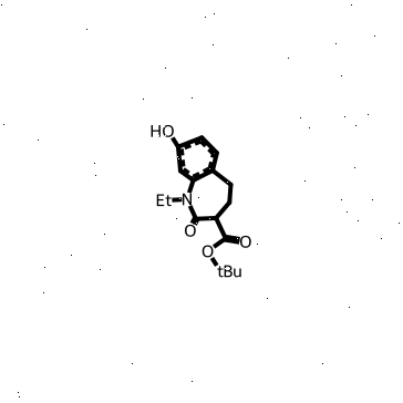 CCN1C(=O)C(C(=O)OC(C)(C)C)CCc2ccc(O)cc21